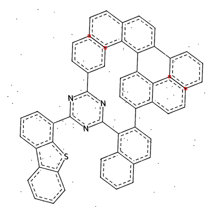 c1ccc(-c2nc(-c3c(-c4ccc(-c5c(-c6ccccc6)ccc6ccccc56)c5ccccc45)ccc4ccccc34)nc(-c3cccc4c3sc3ccccc34)n2)cc1